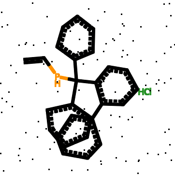 C=CPC(c1ccccc1)(c1ccccc1)c1ccccc1-c1ccccc1.Cl